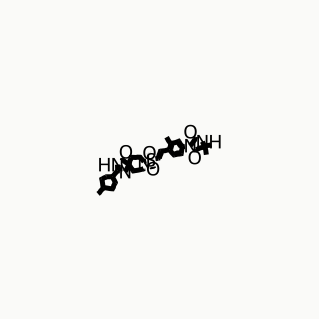 Cc1cc(N2C(=O)NC(C)(C)C2=O)ccc1C=CS(=O)(=O)N1CCC2(CC1)N=C(C1CCC(C)CC1)NC2=O